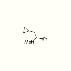 CCCC(CC1CC1)NC